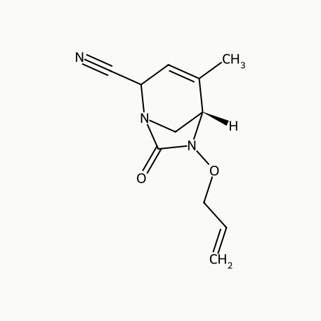 C=CCON1C(=O)N2C[C@@H]1C(C)=CC2C#N